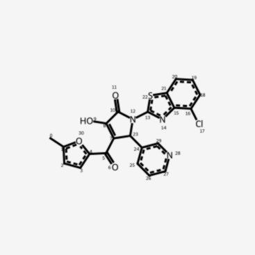 Cc1ccc(C(=O)C2=C(O)C(=O)N(c3nc4c(Cl)cccc4s3)C2c2cccnc2)o1